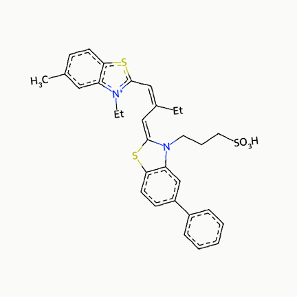 CCC(=Cc1sc2ccc(C)cc2[n+]1CC)C=C1Sc2ccc(-c3ccccc3)cc2N1CCCS(=O)(=O)O